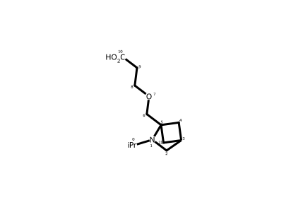 CC(C)N1CC2CC1(COCCC(=O)O)C2